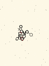 CC1(C)c2ccccc2-c2cc(N(c3cccc(C4CCCCC4)c3)c3ccc4ccccc4c3-c3ccccc3N3c4ccccc4C4C=CC=CC43)ccc21